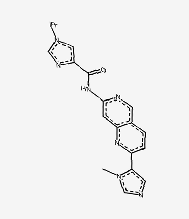 CC(C)n1cnc(C(=O)Nc2cc3nc(-c4cncn4C)ccc3cn2)c1